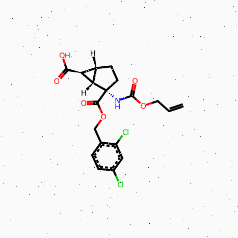 C=CCOC(=O)N[C@@]1(C(=O)OCc2ccc(Cl)cc2Cl)CC[C@H]2[C@H](C(=O)O)[C@H]21